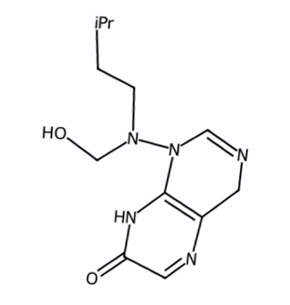 CC(C)CCN(CO)N1C=NCc2ncc(=O)[nH]c21